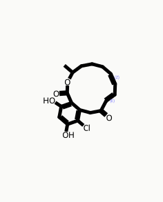 CC1CCC/C=C\C=C\C(=O)Cc2c(Cl)c(O)cc(O)c2C(=O)O1